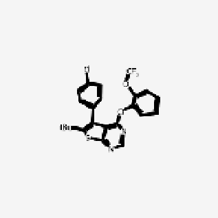 CC(C)(C)c1sc2ncnc(Oc3ccccc3OC(F)(F)F)c2c1-c1ccc(Cl)cc1